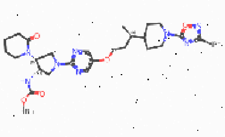 CC(C)c1noc(N2CCC([C@H](C)CCOc3cnc(N4C[C@H](NC(=O)OC(C)(C)C)[C@H](N5CCCCC5=O)C4)nc3)CC2)n1